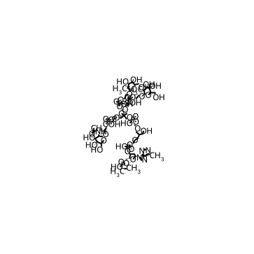 CC(=O)NC1[C@H](OCCOP(=O)(O)OCOCC(COCOP(=O)(O)OCCO[C@@H]2OC(CO)[C@H](O)[C@H](O)C2C)(COP(=O)(O)OCOCC(CO)COCOP(=O)(O)O[C@H]2C[C@H](n3cnc4c(C)ncnc43)O[C@@H]2COP(=O)(O)C(C)C)OCOP(=O)(O)OCCO[C@@H]2OC(CO)[C@H](O)[C@H](O)C2C)OC(CO)[C@H](O)[C@@H]1O